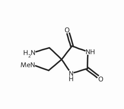 CNCC1(CN)NC(=O)NC1=O